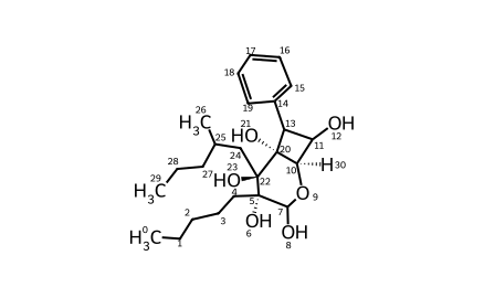 CCCCC[C@]1(O)C(O)O[C@@H]2C(O)C(c3ccccc3)[C@]2(O)[C@@]1(O)CC(C)CCC